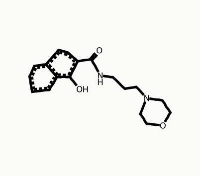 O=C(NCCCN1CCOCC1)c1ccc2ccccc2c1O